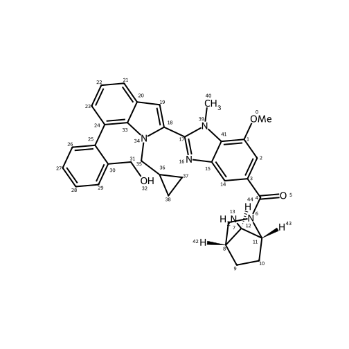 COc1cc(C(=O)N2C[C@H]3CC[C@@H]2[C@@H]3N)cc2nc(-c3cc4cccc(-c5ccccc5CO)c4n3CC3CC3)n(C)c12